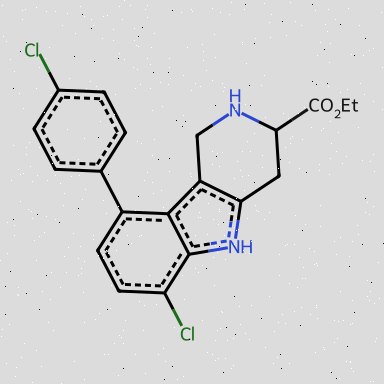 CCOC(=O)C1Cc2[nH]c3c(Cl)ccc(-c4ccc(Cl)cc4)c3c2CN1